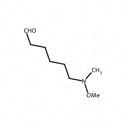 CON(C)[CH]CCCCC=O